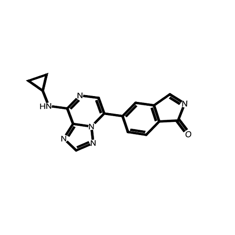 O=C1N=Cc2cc(-c3cnc(NC4CC4)c4ncnn34)ccc21